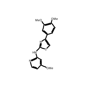 COc1ccnc(Nc2nc(-c3ccc(OC)c(OC)c3)cs2)c1